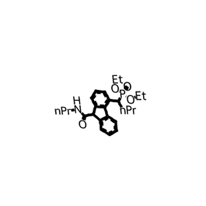 CCCNC(=O)C1c2ccccc2-c2c1cccc2C(CCC)P(=O)(OCC)OCC